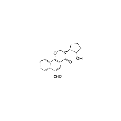 O=Cc1cc2c(c3ccccc13)OCN([C@H]1CCC[C@@H]1O)C2=O